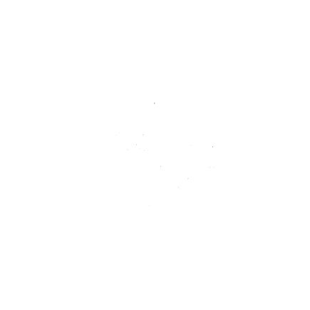 C1CC[CH]([Sn]2([CH]3CCCC3)[S][Sn]([CH]3CCCC3)([CH]3CCCC3)[S]2)C1